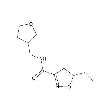 CCC1CC(C(=O)NCC2CCOC2)=NO1